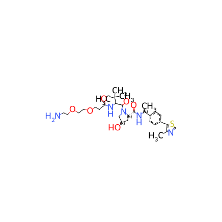 Cc1ncsc1-c1ccc([C@H](C)NC(=O)[C@@H]2C[C@@H](O)CN2C(=O)C(NC(=O)CCOCCOCCN)C(C)(C)C)cc1